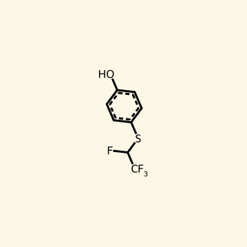 Oc1ccc(SC(F)C(F)(F)F)cc1